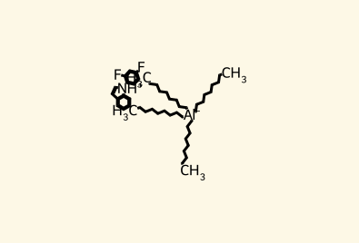 CCCCCCCC[CH2][Al-]([CH2]CCCCCCCC)([CH2]CCCCCCCC)[CH2]CCCCCCCC.Fc1ccc([NH+]2C=Cc3ccccc32)c(F)c1